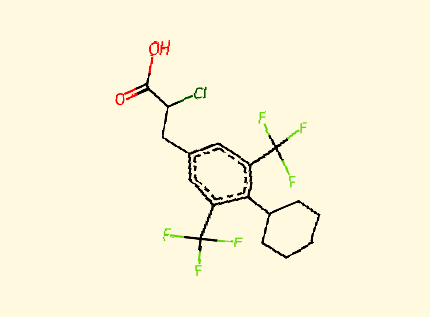 O=C(O)C(Cl)Cc1cc(C(F)(F)F)c(C2CCCCC2)c(C(F)(F)F)c1